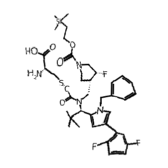 CC(C)(C)[C@H](c1cc(-c2cc(F)ccc2F)cn1Cc1ccccc1)N(C[C@@H]1CN(C(=O)OCC[Si](C)(C)C)C[C@@H]1F)C(=O)CSC[C@H](N)C(=O)O